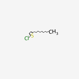 CCCCCCCCCCc1ccc(CCl)s1